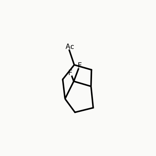 CC(=O)C1CC2CCC(C1)C2(F)F